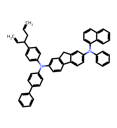 C=CCC(C=C)c1ccc(N(c2ccc(-c3ccccc3)cc2)c2ccc3c(c2)Cc2cc(N(c4ccccc4)c4cccc5ccccc45)ccc2-3)cc1